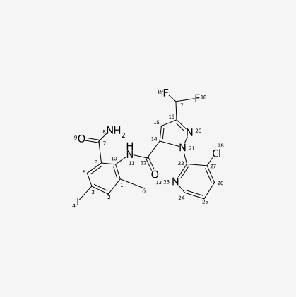 Cc1cc(I)cc(C(N)=O)c1NC(=O)c1cc(C(F)F)nn1-c1ncccc1Cl